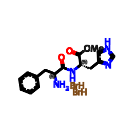 Br.Br.COC(=O)[C@H](Cc1c[nH]cn1)NC(=O)[C@@H](N)Cc1ccccc1